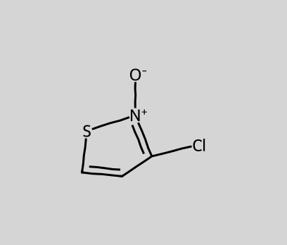 [O-][n+]1sccc1Cl